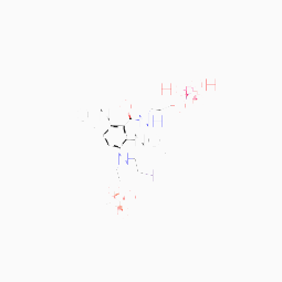 CS(=O)(=O)OCCN(CCI)c1ccc([N+](=O)[O-])c(C(=O)NCCCOP(=O)(O)O)c1[N+](=O)[O-]